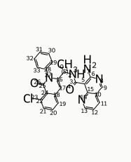 C[C@H](NC(=O)c1c(N)ncc2cccnc12)c1cc2cccc(Cl)c2c(=O)n1-c1ccccc1